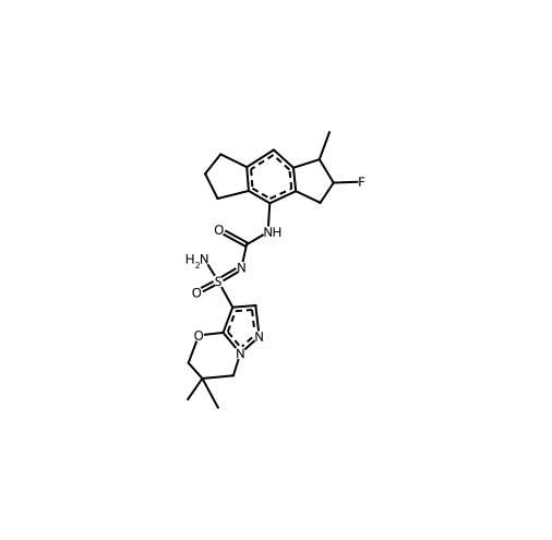 CC1c2cc3c(c(NC(=O)N=S(N)(=O)c4cnn5c4OCC(C)(C)C5)c2CC1F)CCC3